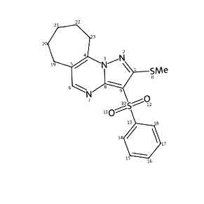 CSc1nn2c3c(cnc2c1S(=O)(=O)c1ccccc1)CCCCC3